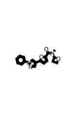 CN(C(=O)c1ccc(-c2cnn(-c3ccccc3)c2)o1)C1CCO1